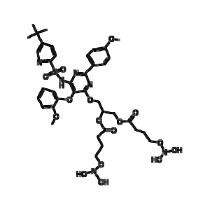 COc1ccc(-c2nc(NS(=O)(=O)c3ccc(C(C)(C)C)cn3)c(Oc3ccccc3OC)c(OCC(COC(=O)CCCON(O)O)OC(=O)CCCON(O)O)n2)cc1